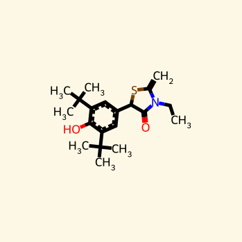 C=C1SC(c2cc(C(C)(C)C)c(O)c(C(C)(C)C)c2)C(=O)N1CC